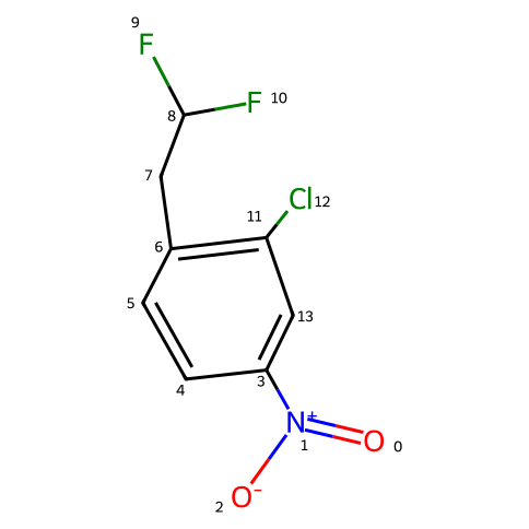 O=[N+]([O-])c1ccc(CC(F)F)c(Cl)c1